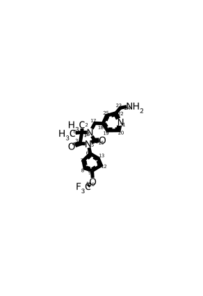 CC1(C)C(=O)N(c2ccc(OC(F)(F)F)cc2)C(=O)N1Cc1ccnc(CN)c1